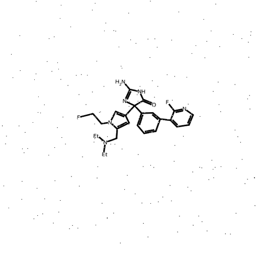 CCN(CC)Cc1cc(C2(c3cccc(-c4cccnc4F)c3)N=C(N)NC2=O)cn1CCF